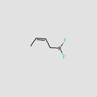 C/C=C\CB(F)F